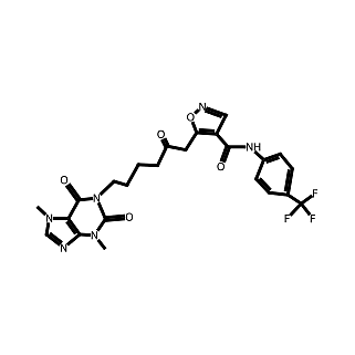 Cn1cnc2c1c(=O)n(CCCCC(=O)Cc1oncc1C(=O)Nc1ccc(C(F)(F)F)cc1)c(=O)n2C